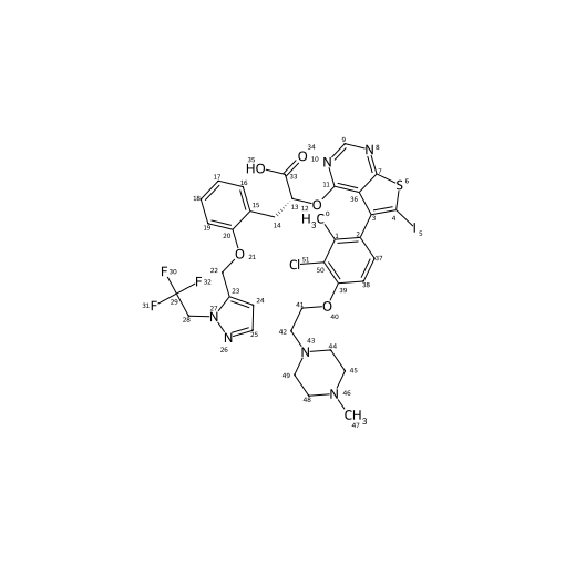 Cc1c(-c2c(I)sc3ncnc(O[C@H](Cc4ccccc4OCc4ccnn4CC(F)(F)F)C(=O)O)c23)ccc(OCCN2CCN(C)CC2)c1Cl